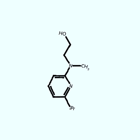 CC(C)c1cccc(N(C)CCO)n1